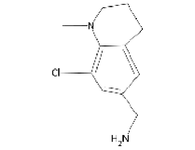 CN1CCCc2cc(CN)cc(Cl)c21